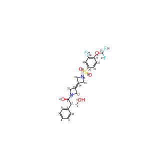 O=C([C@H](CO)c1ccccc1)N1CC(=C2CN(S(=O)(=O)c3ccc(OC(F)F)c(F)c3)C2)C1